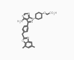 Cc1cc(C)c2oc(Cc3ccc(-c4nn([C@H]5CC[C@H](OCC(=O)O)CC5)c5ncnc(N)c45)cc3)nc2c1